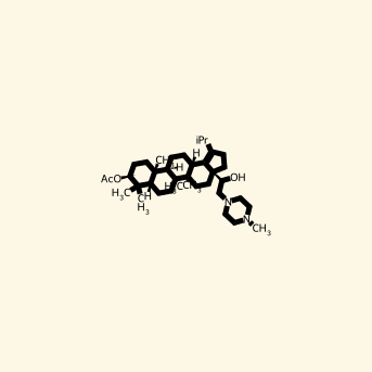 CC(=O)O[C@H]1CC[C@@]2(C)[C@H](CC[C@]3(C)[C@@H]2CC[C@@H]2C4=C(C(C)C)CC[C@]4(C(O)CN4CCN(C)CC4)CC[C@]23C)C1(C)C